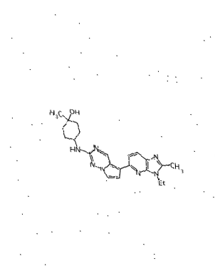 CCn1c(C)nc2ccc(-c3ccn4nc(NC5CCC(C)(O)CC5)ncc34)nc21